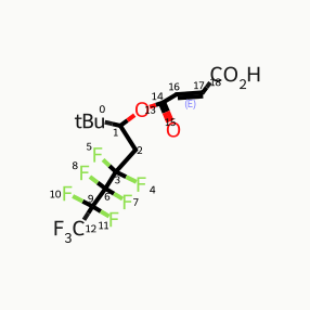 CC(C)(C)C(CC(F)(F)C(F)(F)C(F)(F)C(F)(F)F)OC(=O)/C=C/C(=O)O